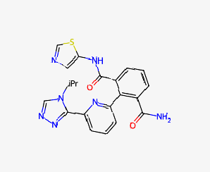 CC(C)n1cnnc1-c1cccc(-c2c(C(N)=O)cccc2C(=O)Nc2cncs2)n1